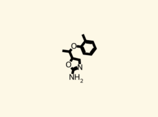 Cc1ccccc1OC(C)C1CN=C(N)O1